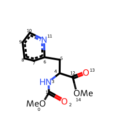 COC(=O)NC(Cc1ccccn1)C(=O)OC